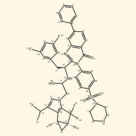 O=c1c2ccc(-c3ccccn3)cc2nc([C@H](Cc2cc(F)cc(F)c2)NC(O)Cn2nc(C(F)F)c3c2C(F)(F)[C@H]2C[C@@H]32)n1-c1ccc(S(=O)(=O)N2CCOCC2)cc1